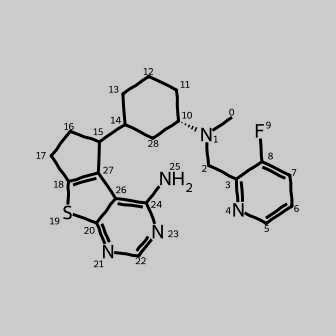 CN(Cc1ncccc1F)[C@H]1CCCC(C2CCc3sc4ncnc(N)c4c32)C1